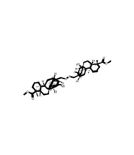 COC(=O)[C@]1(C)CCC[C@@]2(C)[C@@H]3C[C@@H]4CC[C@@]3(CC[C@@H]21)[C@H](O)[C@H]4CSSC[C@H]1[C@H]2CC[C@@]3(CC[C@H]4[C@@](C)(CCC[C@@]4(C)C(=O)OC)[C@@H]3C2)[C@@H]1O